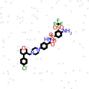 Nc1ccc(S(=O)(=O)NC(=O)c2ccc(N3CCN(CC4=C(c5ccc(Cl)cc5)CCOC4)CC3)cc2)cc1S(=O)(=O)C(F)(F)F